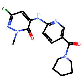 Cn1nc(Cl)cc(Nc2ccc(C(=O)N3CCCCC3)cn2)c1=O